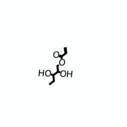 C=CC(=O)OCC(O)C(O)CC